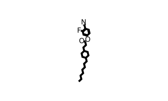 CCCCCCCCC1CCC(CCC(=O)Oc2ccc(C#N)c(F)c2)CC1